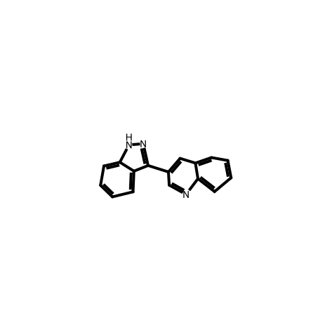 c1ccc2ncc(-c3n[nH]c4ccccc34)cc2c1